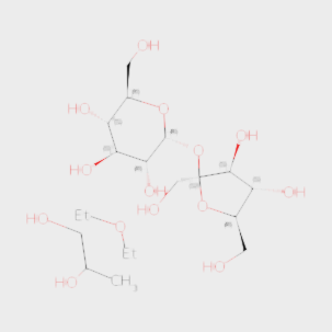 CC(O)CO.CCOCC.OC[C@H]1O[C@@](CO)(O[C@H]2O[C@H](CO)[C@@H](O)[C@H](O)[C@H]2O)[C@@H](O)[C@@H]1O